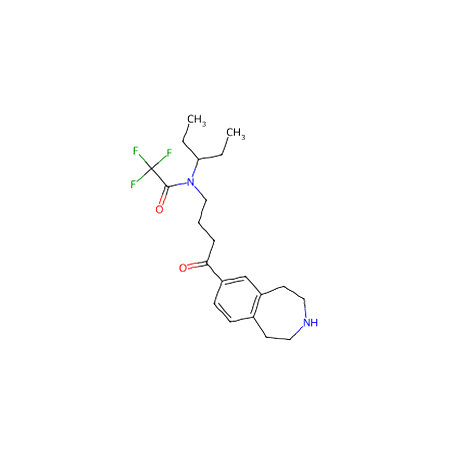 CCC(CC)N(CCCC(=O)c1ccc2c(c1)CCNCC2)C(=O)C(F)(F)F